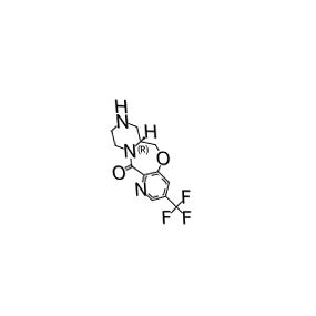 O=C1c2ncc(C(F)(F)F)cc2OC[C@H]2CNCCN12